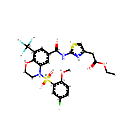 CCOC(=O)Cc1csc(NC(=O)c2cc3c(c(C(F)(F)F)c2)OCCN3S(=O)(=O)c2cc(Cl)ccc2OC)n1